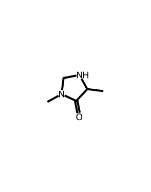 CC1NCN(C)C1=O